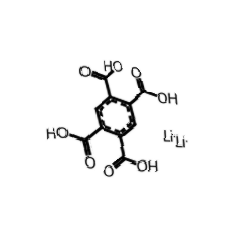 O=C(O)c1cc(C(=O)O)c(C(=O)O)cc1C(=O)O.[Li].[Li]